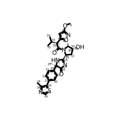 COc1cc([C@@H](C(=O)N2C[C@H](O)C[C@H]2C2=NC(=O)[C@@](C)(c3ccc(-c4scnc4C)cc3)N2)C(C)C)on1